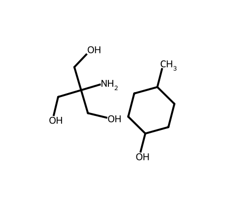 CC1CCC(O)CC1.NC(CO)(CO)CO